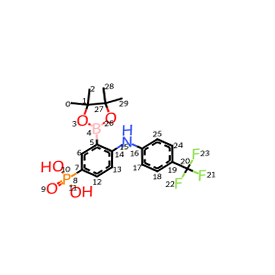 CC1(C)OB(c2cc(P(=O)(O)O)ccc2Nc2ccc(C(F)(F)F)cc2)OC1(C)C